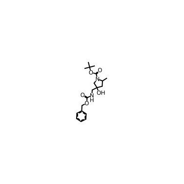 CC1CC(O)(CNC(=O)OCc2ccccc2)CN1C(=O)OC(C)(C)C